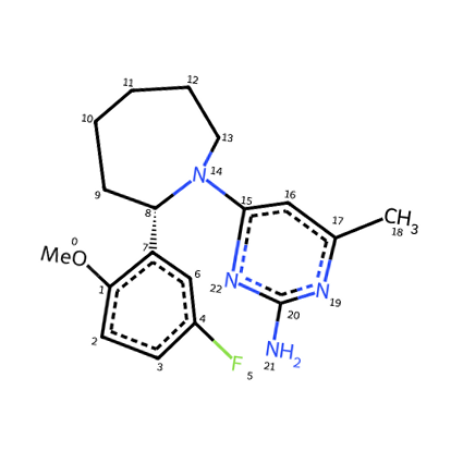 COc1ccc(F)cc1[C@@H]1CCCCCN1c1cc(C)nc(N)n1